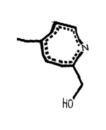 Cc1[c]cnc(CO)c1